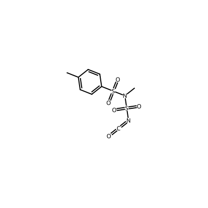 Cc1ccc(S(=O)(=O)N(C)S(=O)(=O)N=C=O)cc1